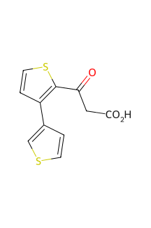 O=C(O)CC(=O)c1sccc1-c1ccsc1